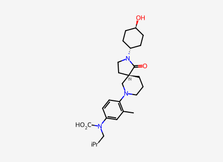 Cc1cc(N(CC(C)C)C(=O)O)ccc1N1CCC[C@]2(CCN([C@H]3CC[C@H](O)CC3)C2=O)C1